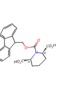 O=C(O)[C@H]1CCC[C@@H](C(=O)O)N1C(=O)OCC1c2ccccc2-c2ccccc21